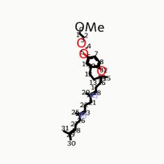 COCCOCOc1ccc2c(c1)CCC(C)(CC/C=C(\C)CC/C=C(\C)CCC=C(C)C)O2